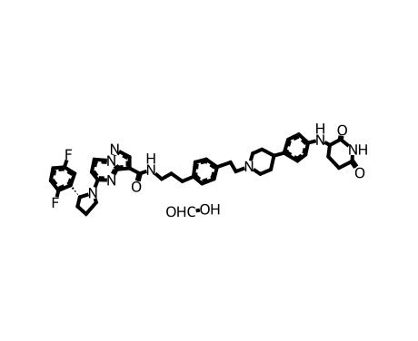 O=C1CCC(Nc2ccc(C3CCN(CCc4ccc(CCCNC(=O)c5cnn6ccc(N7CCC[C@@H]7c7cc(F)ccc7F)nc56)cc4)CC3)cc2)C(=O)N1.O=CO